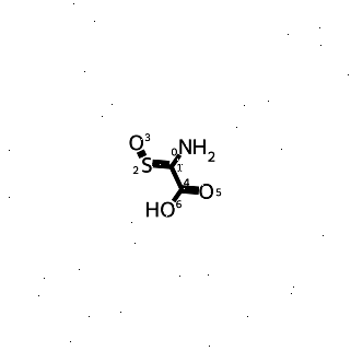 NC(=S=O)C(=O)O